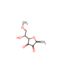 C=C1OC(C(O)COC)C(=O)C1=O